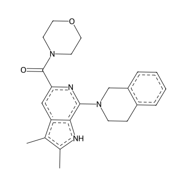 Cc1[nH]c2c(N3CCc4ccccc4C3)nc(C(=O)N3CCOCC3)cc2c1C